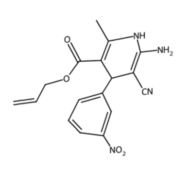 C=CCOC(=O)C1=C(C)NC(N)=C(C#N)C1c1cccc([N+](=O)[O-])c1